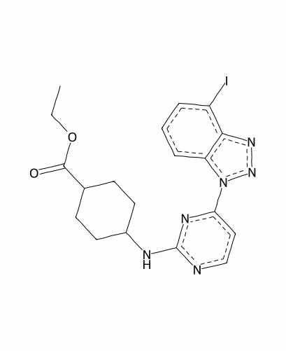 CCOC(=O)C1CCC(Nc2nccc(-n3nnc4c(I)cccc43)n2)CC1